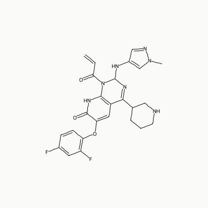 C=CC(=O)N1c2[nH]c(=O)c(Oc3ccc(F)cc3F)cc2C(C2CCCNC2)=NC1Nc1cnn(C)c1